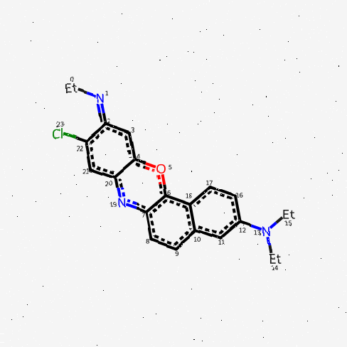 CC/N=c1/cc2oc3c(ccc4cc(N(CC)CC)ccc43)nc-2cc1Cl